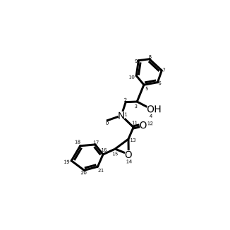 CN(CC(O)c1ccccc1)C(=O)C1OC1c1ccccc1